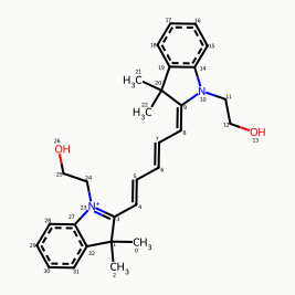 CC1(C)C(/C=C/C=C/C=C2/N(CCO)c3ccccc3C2(C)C)=[N+](CCO)c2ccccc21